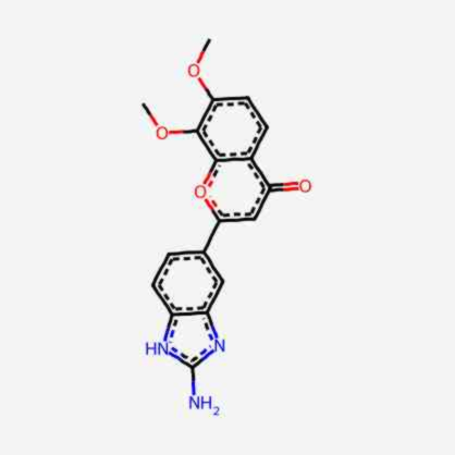 COc1ccc2c(=O)cc(-c3ccc4[nH]c(N)nc4c3)oc2c1OC